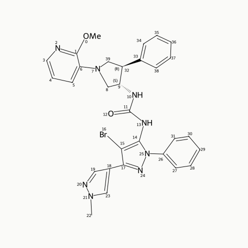 COc1ncccc1N1C[C@@H](NC(=O)Nc2c(Br)c(-c3cnn(C)c3)nn2-c2ccccc2)[C@H](c2ccccc2)C1